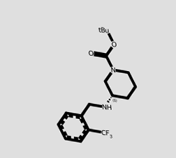 CC(C)(C)OC(=O)N1CCC[C@H](NCc2ccccc2C(F)(F)F)C1